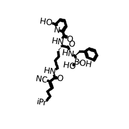 CC(C)CC/C=C(\C#N)C(=O)NCCCC[C@H](NC(=O)c1cccc(O)n1)C(=O)N[C@@H](Cc1ccccc1)B(O)O